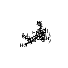 COCCCOc1cc(C[C@@H](C[C@H](NC(=O)OC(C)(C)C)[C@@H](O)C[C@H](C(=O)NCCN2CCOCC2)C(C)C)C(C)C)ccc1OCCCO